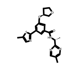 Cc1cnc([C@@H](C)NC(=O)c2cc(O[C@H]3CCOC3)cc(-c3ncc(C)s3)c2)nc1